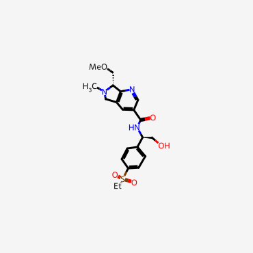 CCS(=O)(=O)c1ccc([C@H](CO)NC(=O)c2cnc3c(c2)CN(C)[C@@H]3COC)cc1